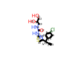 C#C[C@](C)(c1ccc(Cl)cc1)c1csc(NC(=O)NC[C@@H](O)CO)n1